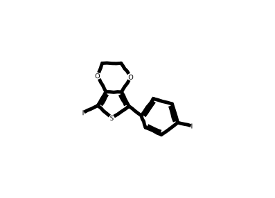 Ic1ccc(-c2sc(I)c3c2OCCO3)cc1